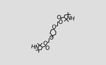 CC1(C)CC(C(=O)OCCOC2CCC(OCCOC(=O)C3CC(C)(C)NC3(C)C)CC2)C(C)(C)N1